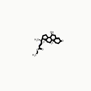 CCOC(=O)/C=C/[C@@H](C)C1CCC2C3C(CC[C@@]21C)[C@@]1(C)CCC(=O)C=C1C[C@@H]3O